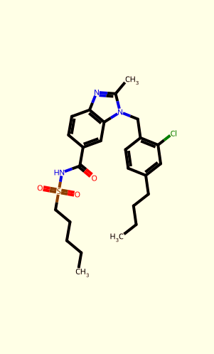 CCCCCS(=O)(=O)NC(=O)c1ccc2nc(C)n(Cc3ccc(CCCC)cc3Cl)c2c1